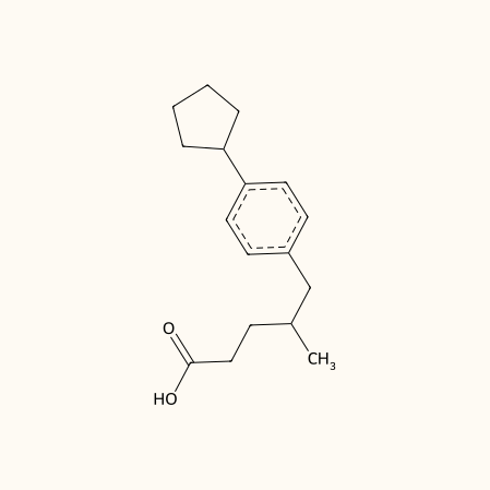 CC(CCC(=O)O)Cc1ccc(C2CCCC2)cc1